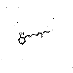 OCCNC=CCN=Cc1ccccc1O